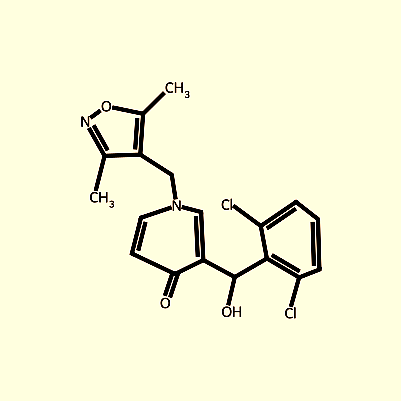 Cc1noc(C)c1Cn1ccc(=O)c(C(O)c2c(Cl)cccc2Cl)c1